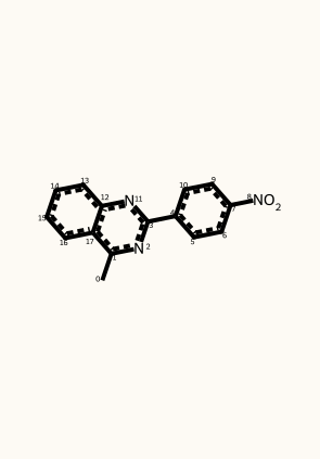 Cc1nc(-c2ccc([N+](=O)[O-])cc2)nc2ccccc12